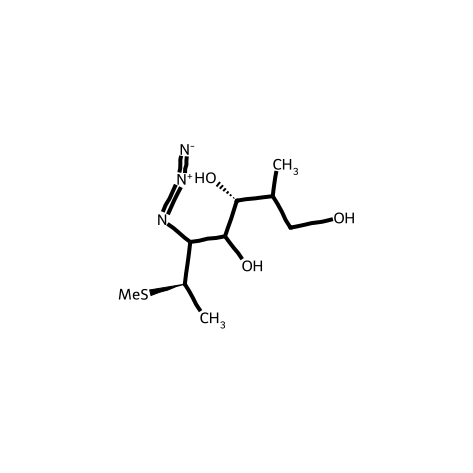 CS[C@H](C)C(N=[N+]=[N-])C(O)[C@H](O)C(C)CO